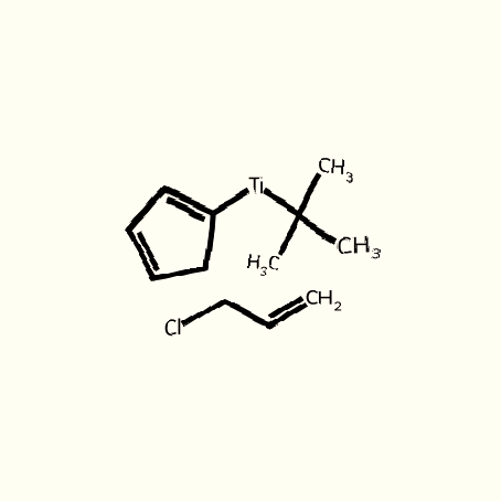 C=CCCl.C[C](C)(C)[Ti][C]1=CC=CC1